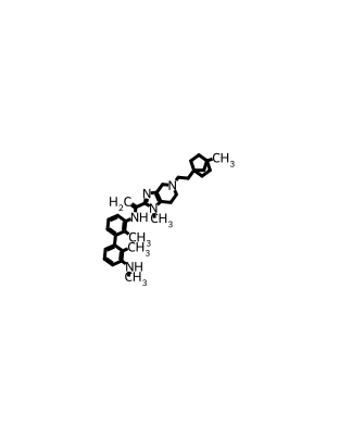 C=C(Nc1cccc(-c2cccc(NC)c2C)c1C)c1nc2c(n1C)CCN(CCC13CCC(C)(CC1)C3)C2